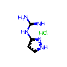 Cl.N=C(N)Nc1cc[nH]n1